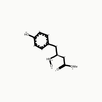 COC(=O)C[C@H](Cc1ccc(O)cc1)NCl